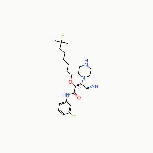 CC(C)(F)CCCCCCO/C(C(=O)Nc1cccc(F)c1)=C(/C=N)N1CCNCC1